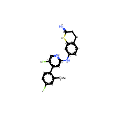 COc1cc(F)ccc1-c1cc(Nc2ccc3c(c2)SC(=N)CC3)ncc1F